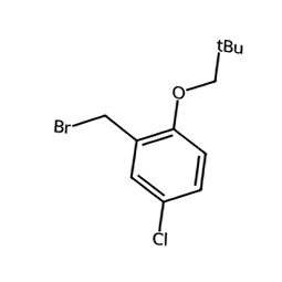 CC(C)(C)COc1ccc(Cl)cc1CBr